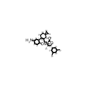 COc1ccc(N)cc1C1=C(CN2C(=O)O[C@H](c3cc(C)cc(C)c3)[C@@H]2C)CC2(CC1)CC2